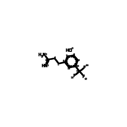 Cl.N=C(N)CCc1cccc(C(F)(F)F)c1